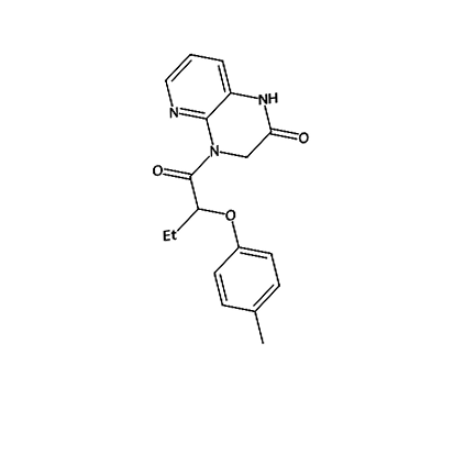 CCC(Oc1ccc(C)cc1)C(=O)N1CC(=O)Nc2cccnc21